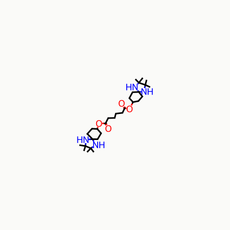 CC1(C)NC2(CCC(OC(=O)CCCCC(=O)OC3CCC4(CC3)NC(C)(C)C(C)(C)N4)CC2)NC1(C)C